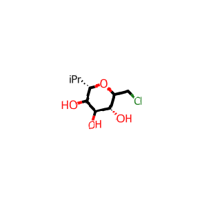 CC(C)[C@@H]1OC(CCl)[C@H](O)C(O)C1O